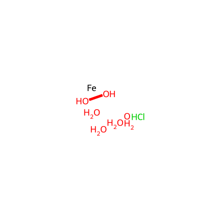 Cl.O.O.O.O.OO.[Fe]